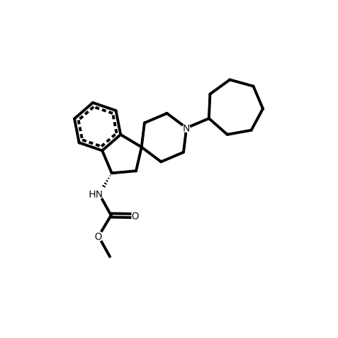 COC(=O)N[C@H]1CC2(CCN(C3CCCCCC3)CC2)c2ccccc21